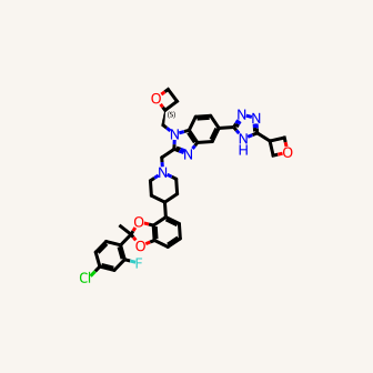 CC1(c2ccc(Cl)cc2F)Oc2cccc(C3CCN(Cc4nc5cc(-c6nnc(C7COC7)[nH]6)ccc5n4C[C@@H]4CCO4)CC3)c2O1